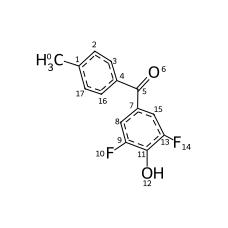 Cc1ccc(C(=O)c2cc(F)c(O)c(F)c2)cc1